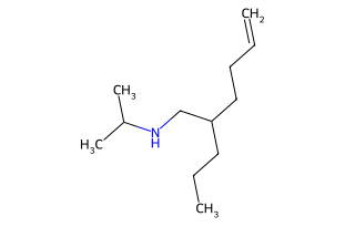 C=CCCC(CCC)CNC(C)C